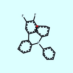 Fc1ccc(-c2ccccc2P(c2ccccc2)c2ccccc2)cc1F